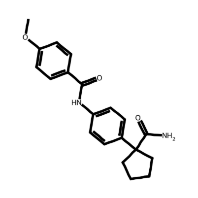 COc1ccc(C(=O)Nc2ccc(C3(C(N)=O)CCCC3)cc2)cc1